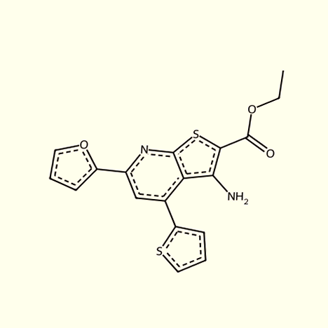 CCOC(=O)c1sc2nc(-c3ccco3)cc(-c3cccs3)c2c1N